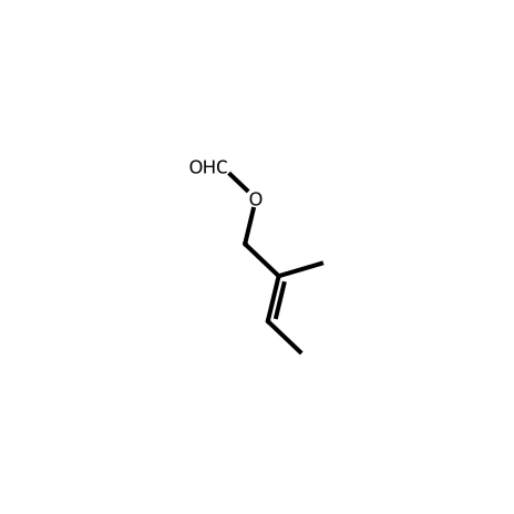 C/C=C(\C)COC=O